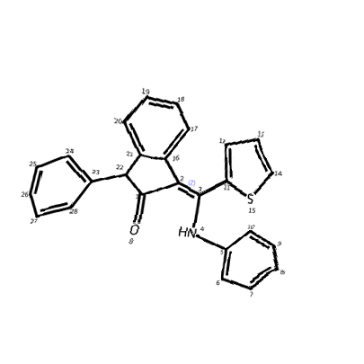 O=C1/C(=C(\Nc2ccccc2)c2cccs2)c2ccccc2C1c1ccccc1